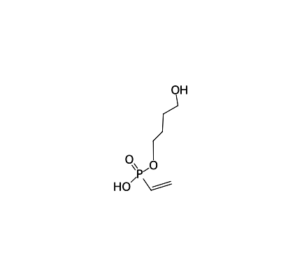 C=CP(=O)(O)OCCCCO